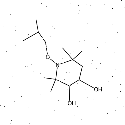 CC(C)CON1C(C)(C)CC(O)C(O)C1(C)C